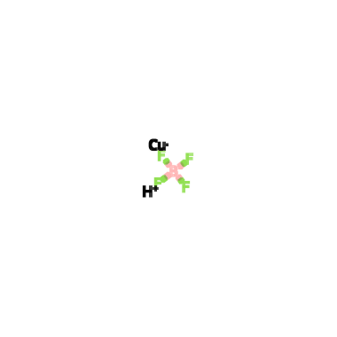 F[B-](F)(F)F.[Cu].[H+]